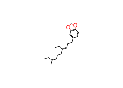 CC/C(C)=C\CC/C(=C/CCc1ccc2c(c1)OCO2)CC